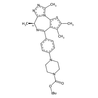 Cc1sc2c(c1C)C(c1ccc(N3CCN(C(=O)OC(C)(C)C)CC3)cc1)=N[C@@H](C)c1nnc(C)n1-2